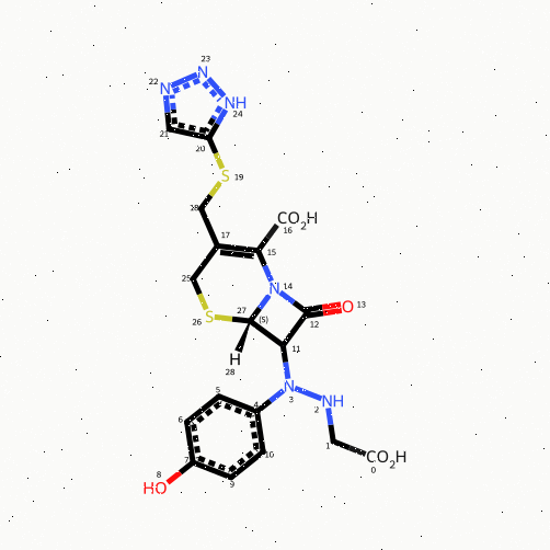 O=C(O)CNN(c1ccc(O)cc1)C1C(=O)N2C(C(=O)O)=C(CSc3cnn[nH]3)CS[C@@H]12